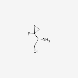 N[C@H](CO)C1(F)CC1